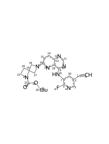 C#Cc1cnc(F)c(Nc2ncnc3ccc(N4CC5(CCN5C(=O)OC(C)(C)C)C4)nc23)c1